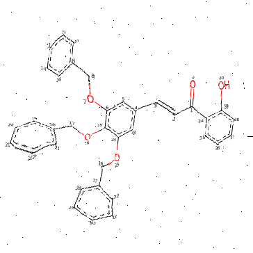 O=C(/C=C/c1cc(OCc2ccccc2)c(OCc2ccccc2)c(OCc2ccccc2)c1)c1ccccc1O